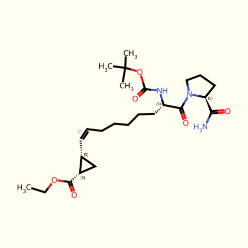 CCOC(=O)[C@H]1C[C@H]1/C=C\CCCCC[C@H](NC(=O)OC(C)(C)C)C(=O)N1CCC[C@H]1C(N)=O